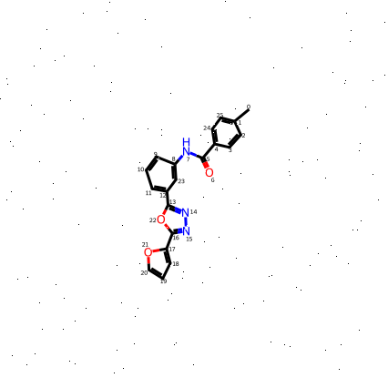 Cc1ccc(C(=O)Nc2cccc(-c3nnc(-c4ccco4)o3)c2)cc1